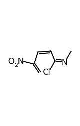 C=C(/C=C\C(Cl)=N/C)[N+](=O)[O-]